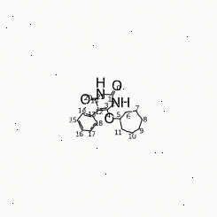 O=c1[nH]c(OC2CCCCCC2)c(-c2ccccc2)c(=O)[nH]1